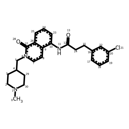 CN1CCC(Cn2ccc3c(NC(=O)CCc4cccc(Cl)c4)cccc3c2=O)CC1